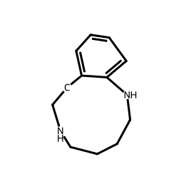 c1ccc2c(c1)CCNCCCCN2